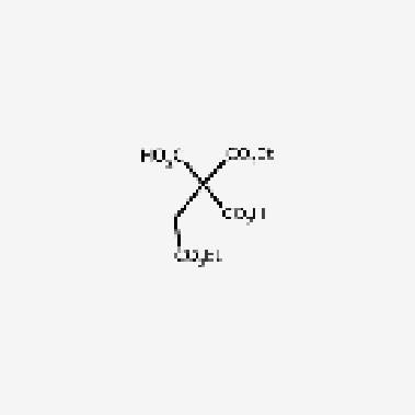 CCOC(=O)CC(C(=O)O)(C(=O)O)C(=O)OCC